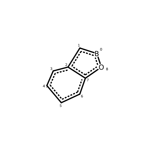 b1cc2c[c]ccc2o1